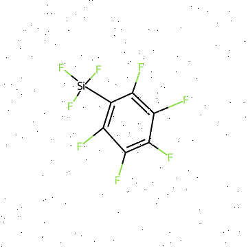 Fc1c(F)c(F)c([Si](F)(F)F)c(F)c1F